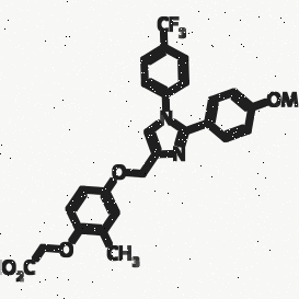 COc1ccc(-c2nc(COc3ccc(OCC(=O)O)c(C)c3)cn2-c2ccc(C(F)(F)F)cc2)cc1